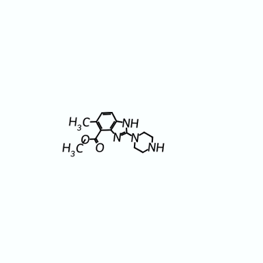 COC(=O)c1c(C)ccc2[nH]c(N3CCNCC3)nc12